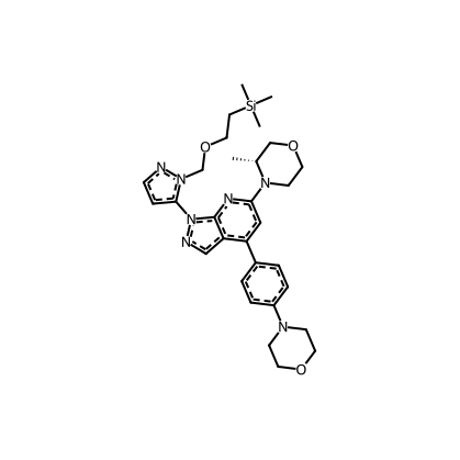 C[C@@H]1COCCN1c1cc(-c2ccc(N3CCOCC3)cc2)c2cnn(-c3ccnn3COCC[Si](C)(C)C)c2n1